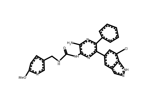 COc1ccc(CNC(=O)Nc2nc(-c3cc(Cl)c4[nH]ncc4c3)c(-c3ccccc3)nc2N)cn1